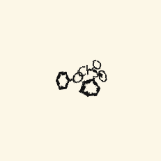 O=S(=O)(Cl)c1ccccc1Oc1ccccc1